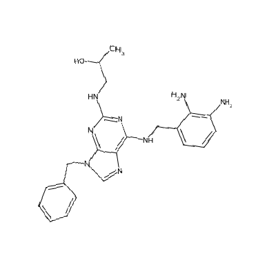 CC(O)CNc1nc(NCc2cccc(N)c2N)c2ncn(Cc3ccccc3)c2n1